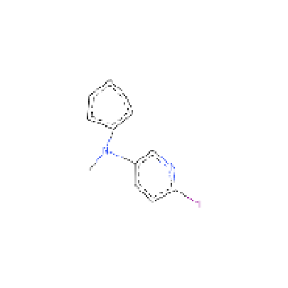 CN(c1ccccc1)c1ccc(I)nc1